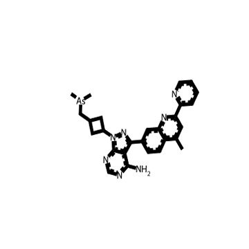 Cc1cc(-c2ccccn2)nc2cc(-c3nn(C4CC(C[As](C)C)C4)c4ncnc(N)c34)ccc12